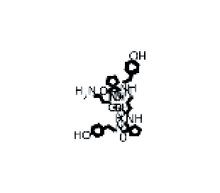 NCCCC(NC(=O)C1(C(=O)NCCc2ccc(O)cc2)CCCC1)OBOC(CCCN)NC(=O)C1(C(=O)NCCc2ccc(O)cc2)CCCC1